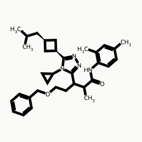 Cc1ccc(NC(=O)C(C)C(CCOCc2ccccc2)c2nnc([C@H]3C[C@@H](CC(C)C)C3)n2C2CC2)c(C)c1